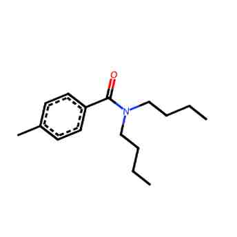 CCCCN(CCCC)C(=O)c1ccc(C)cc1